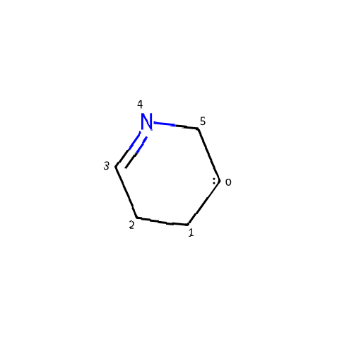 [C]1CCC=NC1